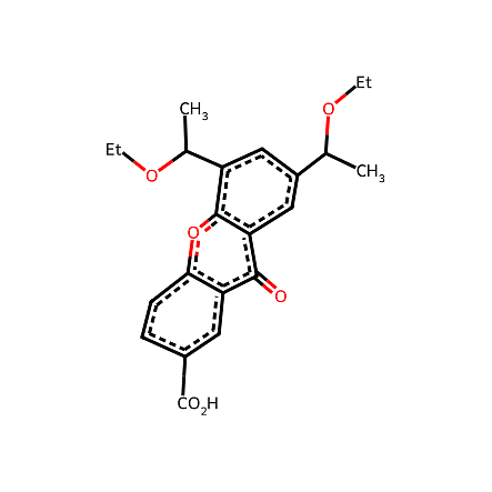 CCOC(C)c1cc(C(C)OCC)c2oc3ccc(C(=O)O)cc3c(=O)c2c1